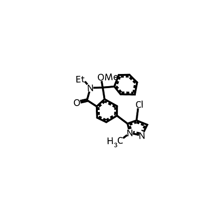 CCN1C(=O)c2ccc(-c3c(Cl)cnn3C)cc2C1(OC)c1ccccc1